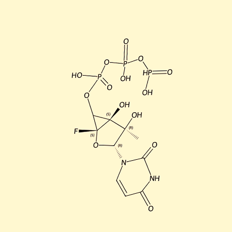 C[C@]1(O)[C@H](n2ccc(=O)[nH]c2=O)O[C@]2(F)C(OP(=O)(O)OP(=O)(O)O[PH](=O)O)[C@]12O